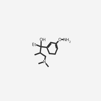 CCC(O)(C1=CC(ON)=CCC1)C(C)CN(C)C